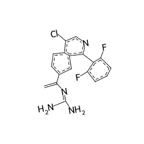 C=C(N=C(N)N)c1ccc2c(Cl)cnc(-c3c(F)cccc3F)c2c1